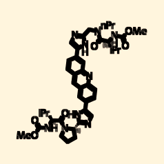 CCCN(Cc1ncc(-c2ccc3cc4cc(-c5cnc([C@@H]6CCCN6C(=O)[C@@H](NC(=O)OC)C(C)C)[nH]5)ccc4nc3c2)[nH]1)C(=O)[C@@H](NC(=O)OC)C(C)C